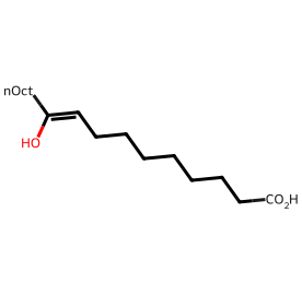 CCCCCCCC/C(O)=C/CCCCCCCC(=O)O